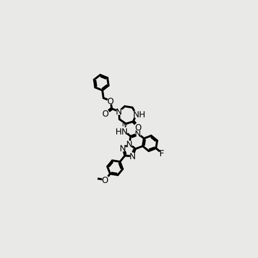 COc1ccc(-c2nc3c4cc(F)ccc4nc(N[C@@H]4CN(C(=O)OCc5ccccc5)CCNC4=O)n3n2)cc1